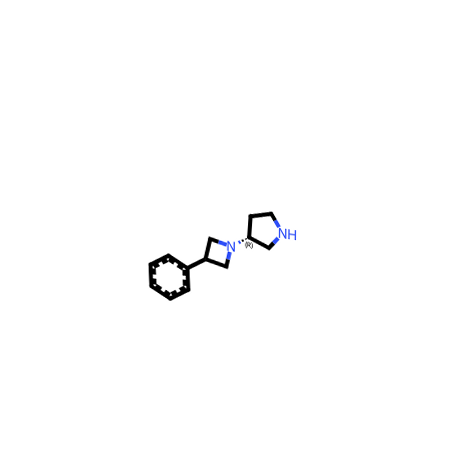 c1ccc(C2CN([C@@H]3CCNC3)C2)cc1